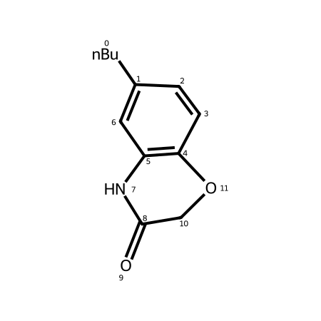 CCCCc1ccc2c(c1)NC(=O)CO2